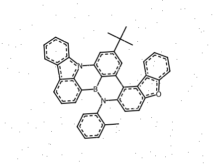 Cc1ccccc1N1B2c3c(cc(C(C)(C)C)cc3-n3c4ccccc4c4cccc2c43)-c2c1ccc1oc3ccccc3c21